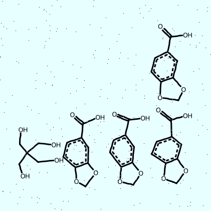 O=C(O)c1ccc2c(c1)OCO2.O=C(O)c1ccc2c(c1)OCO2.O=C(O)c1ccc2c(c1)OCO2.O=C(O)c1ccc2c(c1)OCO2.OCC(CO)(CO)CO